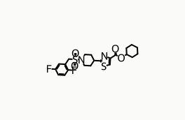 O=C(OC1CCCCC1)c1csc(C2CCN(S(=O)(=O)Cc3cc(F)ccc3F)CC2)n1